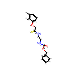 Cc1cccc(OCC(=S)NCCNC(=O)OCc2ccccc2)c1C